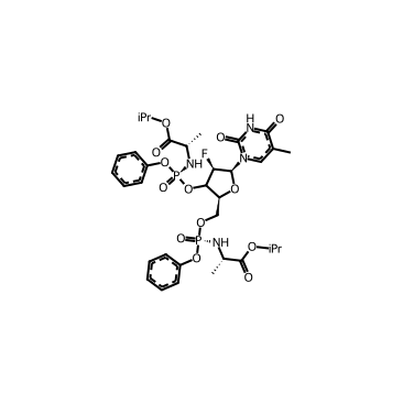 Cc1cn([C@H]2O[C@@H](CO[P@@](=O)(N[C@@H](C)C(=O)OC(C)C)Oc3ccccc3)C(O[P@@](=O)(N[C@@H](C)C(=O)OC(C)C)Oc3ccccc3)[C@H]2F)c(=O)[nH]c1=O